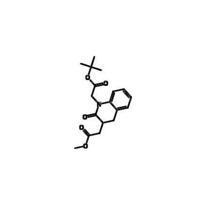 COC(=O)CC1Cc2ccccc2N(CC(=O)OC(C)(C)C)C1=O